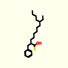 CCCCC(CC)CCCCCCC(Cc1ccccc1)C(O)=S